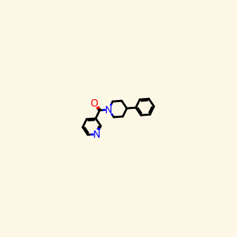 O=C(c1cccnc1)N1CCC(c2ccccc2)CC1